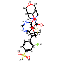 CC(C)(C)OC(=O)N1CC2COCC(C1)C2Oc1ncnc2c(-c3ccc(S(C)(=O)=O)cc3F)csc12